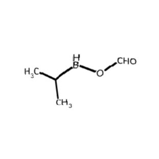 CC(C)BOC=O